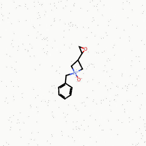 [O-][N+]1(Cc2ccccc2)CC(C2CO2)C1